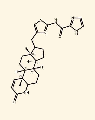 C[C@]12C=CC(=O)NC1CC[C@@H]1[C@H]2CC[C@]2(C)C(Cc3csc(NC(=O)c4ncc[nH]4)n3)CC[C@@H]12